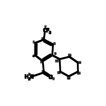 NC(=O)c1ccc(C(F)(F)F)cc1C1CCCCC1